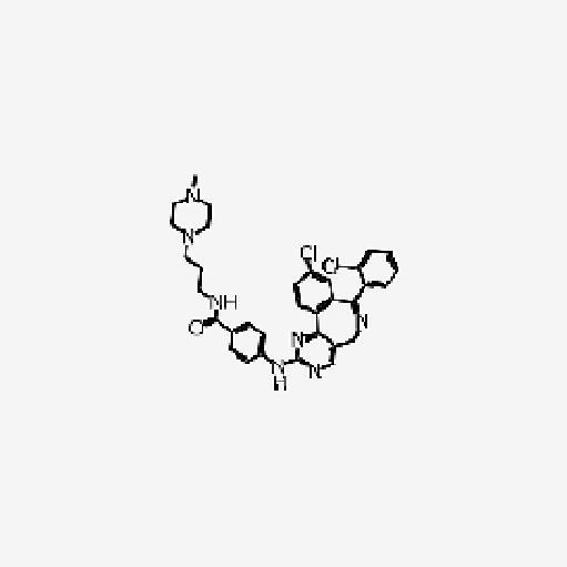 CN1CCN(CCCNC(=O)c2ccc(Nc3ncc4c(n3)-c3ccc(Cl)cc3C(c3ccccc3Cl)=NC4)cc2)CC1